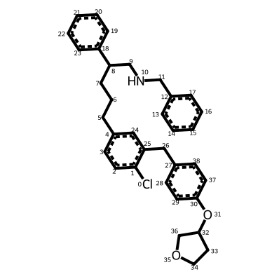 Clc1ccc(CCCC(CNCc2ccccc2)c2ccccc2)cc1Cc1ccc(OC2CCOC2)cc1